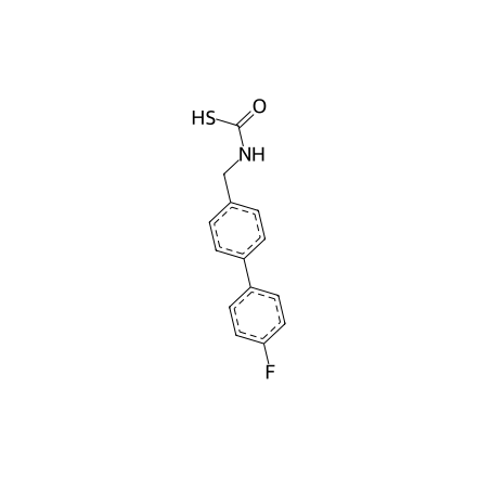 O=C(S)NCc1ccc(-c2ccc(F)cc2)cc1